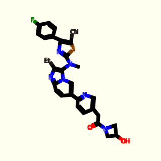 CCc1nc2ccc(-c3ccc(CC(=O)N4CC(O)C4)cn3)cn2c1N(C)c1nc(-c2ccc(F)cc2)c(C#N)s1